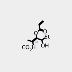 C=CC(=O)O/C(=C(\C)C(=O)O)C(O)CC